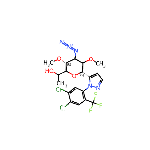 COC1C(N=[N+]=[N-])[C@@H](OC)C(C(C)O)O[C@H]1c1ccnn1-c1cc(Cl)c(Cl)cc1C(F)(F)F